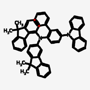 CC1(C)c2ccccc2-c2cc(N(c3ccc(-n4c5ccccc5c5ccccc54)cc3-c3ccccc3)c3cccc4c3-c3ccccc3C4(C)C)ccc21